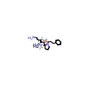 NCCC(F)[C@H](N)C(=O)[C@@]1(C(=O)O)CCCN1[C@@H](CCc1ccccc1)C(=O)O